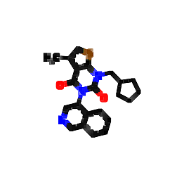 Cc1csc2c1c(=O)n(-c1cncc3ccccc13)c(=O)n2CC1CCCC1